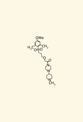 COc1cc(C)c(S(=O)(=O)CCCOCC(=O)N2CCN(C3CCN(C)CC3)CC2)c(C)c1